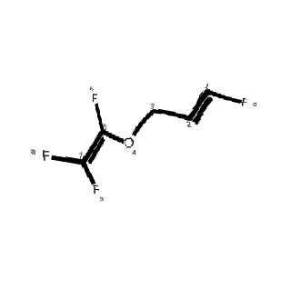 FC=CCOC(F)=C(F)F